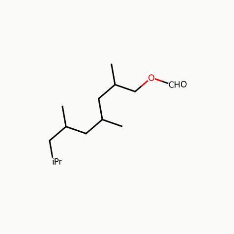 CC(C)CC(C)CC(C)CC(C)COC=O